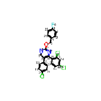 Fc1ccc(COc2ncc(-c3ccc(Cl)cc3)c(-c3ccc(Cl)cc3Cl)n2)cc1